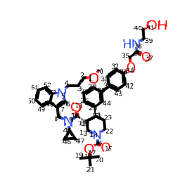 COCCCn1cc(CN(C(=O)[C@H]2CN(C(=O)OC(C)(C)C)CC[C@@H]2c2cccc(-c3ccc(OCC(=O)NCCO)cc3)c2)C2CC2)c2ccccc21